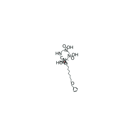 CC1(C(O)CCCCCCCCCCOCc2ccccc2)CN(C(=O)O)CCN(C(=O)O)CCNCCN1C(=O)O